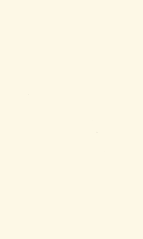 CC(S)CC(=O)OC1CSC(OC(=O)CC(C)S)CS1